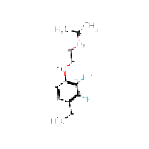 CCc1ccc(OCCOC(C)C)c(F)c1F